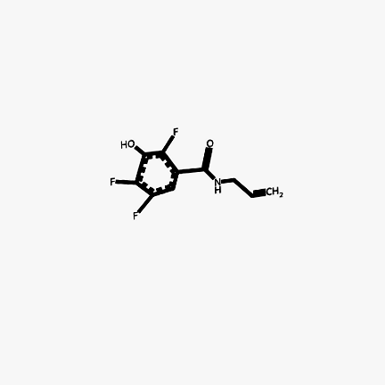 C=CCNC(=O)c1cc(F)c(F)c(O)c1F